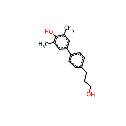 Cc1cc(-c2ccc(CCCO)cc2)cc(C)c1O